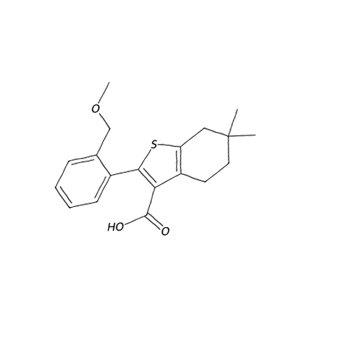 COCc1ccccc1-c1sc2c(c1C(=O)O)CCC(C)(C)C2